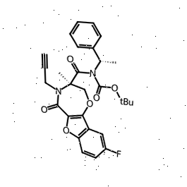 C#CCN1C(=O)c2oc3ccc(F)cc3c2OC[C@]1(C)C(=O)N(C(=O)OC(C)(C)C)[C@@H](C)c1ccccc1